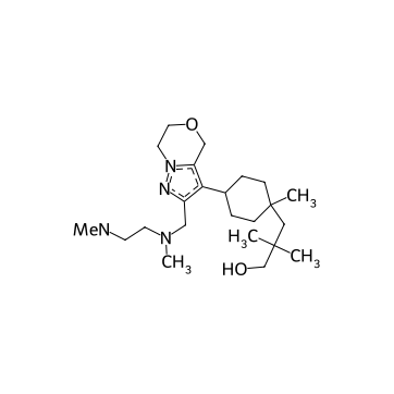 CNCCN(C)Cc1nn2c(c1C1CCC(C)(CC(C)(C)CO)CC1)COCC2